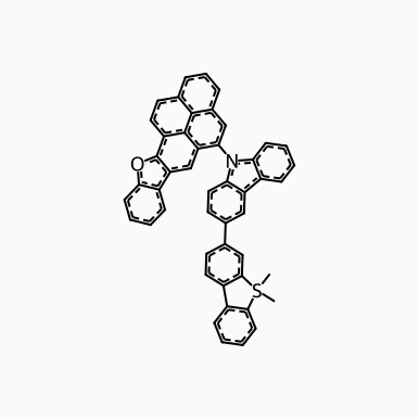 CS1(C)c2ccccc2-c2ccc(-c3ccc4c(c3)c3ccccc3n4-c3cc4cccc5ccc6c7oc8ccccc8c7cc3c6c54)cc21